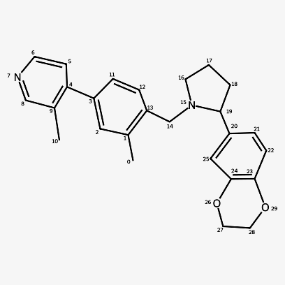 Cc1cc(-c2ccncc2C)ccc1CN1CCCC1c1ccc2c(c1)OCCO2